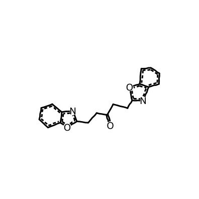 O=C(CCc1nc2ccccc2o1)CCc1nc2ccccc2o1